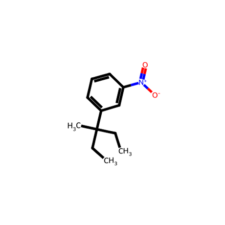 CCC(C)(CC)c1cccc([N+](=O)[O-])c1